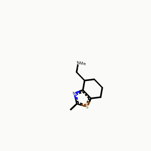 CNCC1CCCc2sc(C)nc21